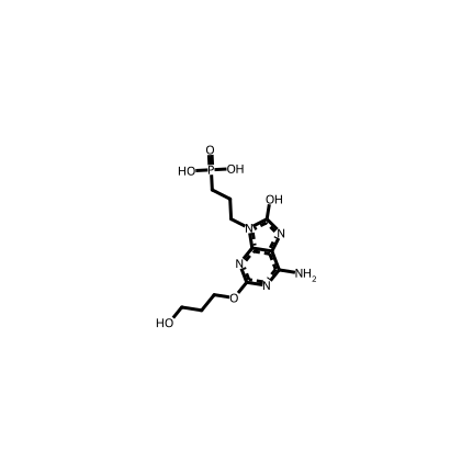 Nc1nc(OCCCO)nc2c1nc(O)n2CCCP(=O)(O)O